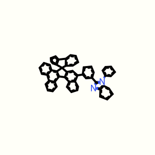 c1ccc(-n2c(-c3cccc(-c4cc5c(c6ccccc46)-c4c(c6ccccc6c6ccccc46)C54c5ccccc5-c5ccccc54)c3)nc3ccccc32)cc1